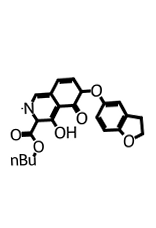 CCCCOC(=O)C1[N]C=C2C=CC(Oc3ccc4c(c3)CCO4)C(=O)C2=C1O